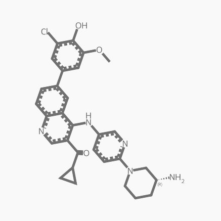 COc1cc(-c2ccc3ncc(C(=O)C4CC4)c(Nc4ccc(N5CCC[C@@H](N)C5)nc4)c3c2)cc(Cl)c1O